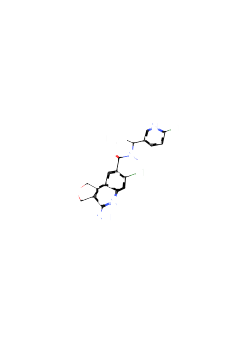 CCN(C(=O)c1cc2c3c(c(N)nc2cc1Cl)COC3)C(C)c1ccc(Cl)nc1